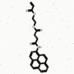 C=CC(=O)OCCOC(=O)CCC(=O)Nc1ccc2ccc3cccc4ccc1c2c34